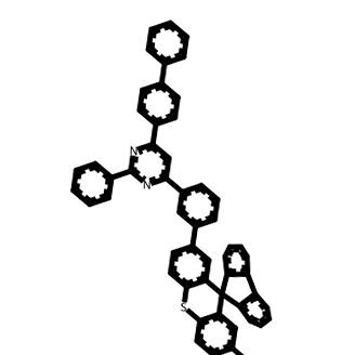 N#Cc1ccc2c(c1)C1(c3cc(-c4cccc(-c5cc(-c6ccc(-c7ccccc7)cc6)nc(-c6ccccc6)n5)c4)ccc3S2)c2ccccc2-c2ccccc21